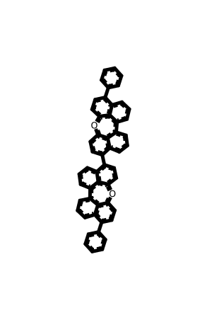 c1ccc(-c2ccc3oc4ccc(-c5ccc6oc7ccc(-c8ccccc8)c8cccc(c9cccc5c69)c78)c5cccc(c6cccc2c36)c45)cc1